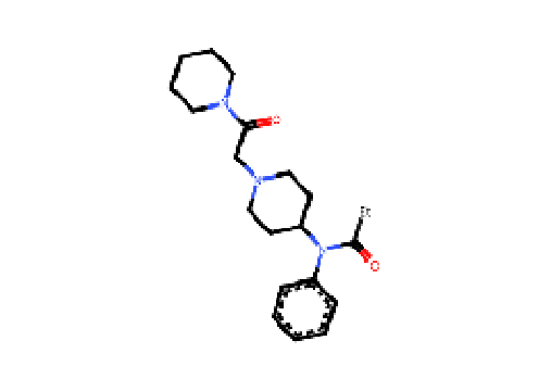 CCC(=O)N(c1ccccc1)C1CCN(CC(=O)N2CCCCC2)CC1